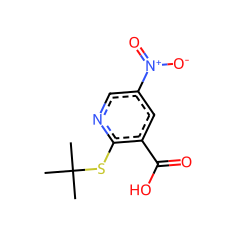 CC(C)(C)Sc1ncc([N+](=O)[O-])cc1C(=O)O